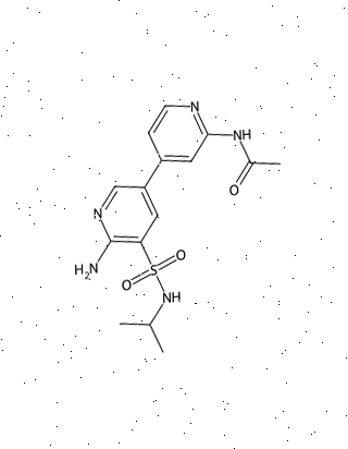 CC(=O)Nc1cc(-c2cnc(N)c(S(=O)(=O)NC(C)C)c2)ccn1